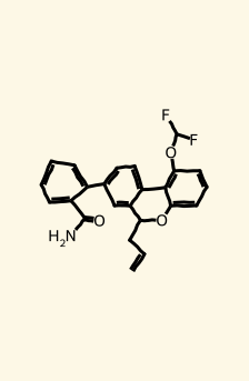 C=CCC1Oc2cccc(OC(F)F)c2-c2ccc(-c3ccccc3C(N)=O)cc21